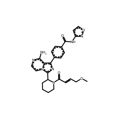 COCC=CC(=O)N1CCCCC1c1nc(-c2ccc(C(=O)Nc3ccon3)cc2)c2c(N)nccn12